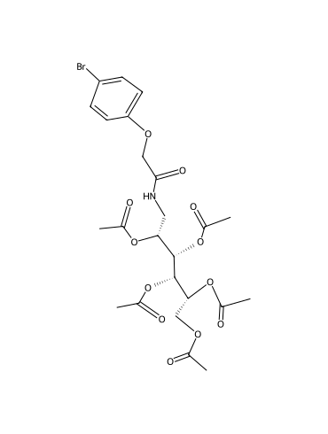 CC(=O)OC[C@@H](OC(C)=O)[C@H](OC(C)=O)[C@@H](OC(C)=O)[C@@H](CNC(=O)COc1ccc(Br)cc1)OC(C)=O